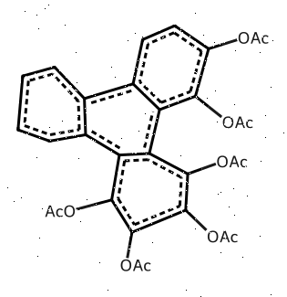 CC(=O)Oc1ccc2c3ccccc3c3c(OC(C)=O)c(OC(C)=O)c(OC(C)=O)c(OC(C)=O)c3c2c1OC(C)=O